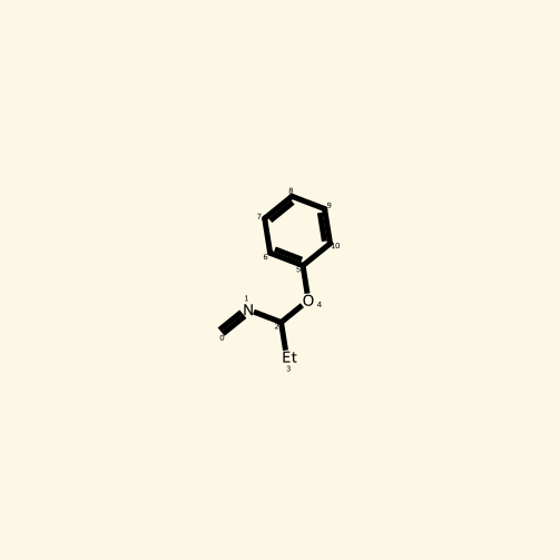 C=NC(CC)Oc1ccccc1